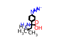 CC(C)(C)CC(N)(C(=O)O)c1ccc(N=[N+]=[N-])cc1